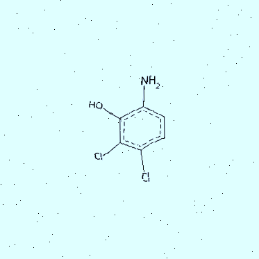 Nc1ccc(Cl)c(Cl)c1O